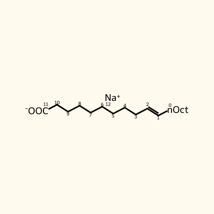 CCCCCCCCC=CCCCCCCCCC(=O)[O-].[Na+]